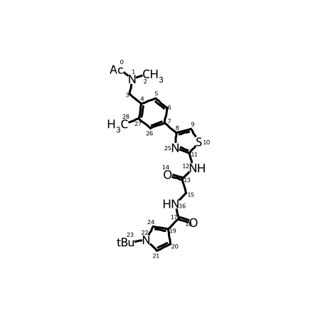 CC(=O)N(C)Cc1ccc(-c2csc(NC(=O)CNC(=O)c3ccn(C(C)(C)C)c3)n2)cc1C